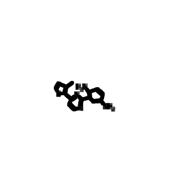 Cc1ccsc1-c1ccnc(-c2cc(N)ccc2N)n1